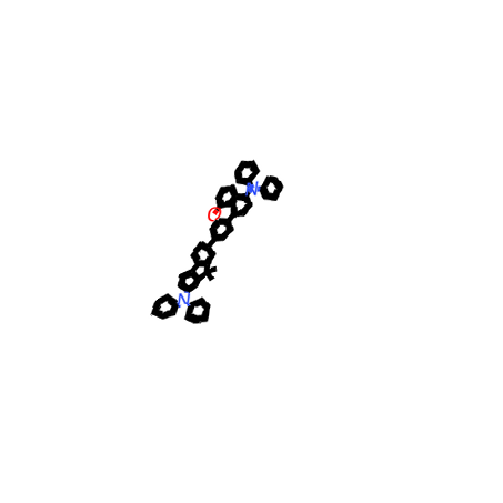 CC1(C)c2cc(-c3ccc4c(c3)Oc3cccc5c(N(c6ccccc6)c6ccccc6)ccc-4c35)ccc2-c2ccc(N(c3ccccc3)c3ccccc3)cc21